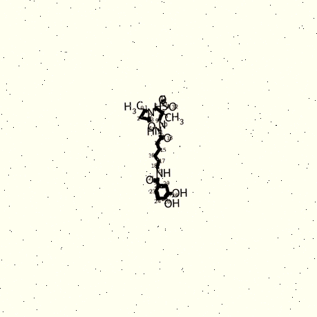 C[C@@H]1CC(=O)N1C[C@](C)(/C=N/NC(=O)CCCCCNC(=O)c1ccc(O)c(O)c1)[SH](=O)=O